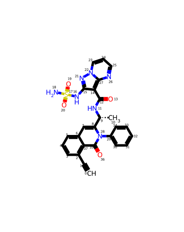 C#Cc1cccc2cc([C@@H](C)NC(=O)c3c(NS(N)(=O)=O)nn4cccnc34)n(-c3ccccc3)c(=O)c12